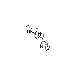 C1=CN(NCC2CC2)Nn2ccc(-c3cnc4nccn4c3)c21